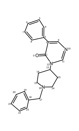 O=c1c(-c2ccccc2)cncn1C1CCN(Cc2ccccc2)CC1